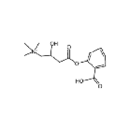 C[N+](C)(C)CC(O)CC(=O)Oc1ccccc1C(=O)O